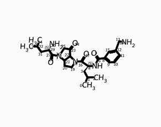 CC(C)C[C@H](NC(=O)c1cccc(CN)c1)C(=O)N1CCC2C1C(=O)CN2C(=O)[C@@H](N)CC(C)C